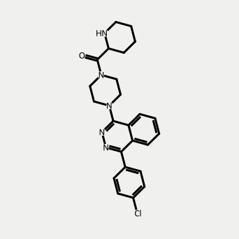 O=C(C1CCCCN1)N1CCN(c2nnc(-c3ccc(Cl)cc3)c3ccccc23)CC1